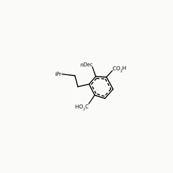 CCCCCCCCCCc1c(C(=O)O)ccc(C(=O)O)c1CCC(C)C